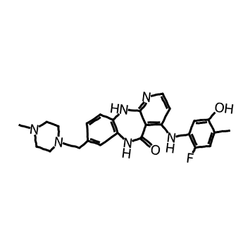 Cc1cc(F)c(Nc2ccnc3c2C(=O)Nc2cc(CN4CCN(C)CC4)ccc2N3)cc1O